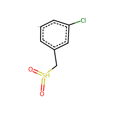 O=[SH](=O)Cc1c[c]cc(Cl)c1